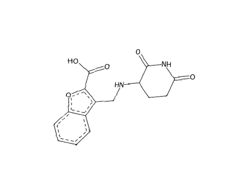 O=C1CCC(NCc2c(C(=O)O)oc3ccccc23)C(=O)N1